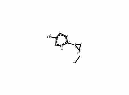 CC[C@H]1C[C@@H]1c1ccc(Cl)cn1